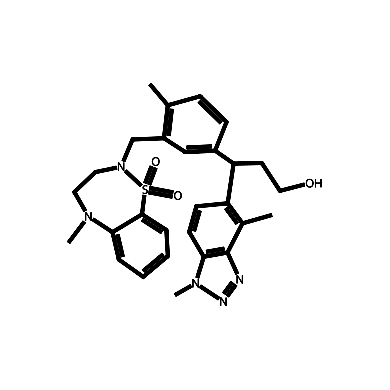 Cc1ccc(C(CCO)c2ccc3c(nnn3C)c2C)cc1CN1CCN(C)c2ccccc2S1(=O)=O